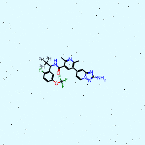 [2H]C([2H])([2H])C(NC(=O)c1cc(-c2ccn3nc(N)nc3c2)c(C)nc1C)c1cc(OC(F)(F)F)ccc1F